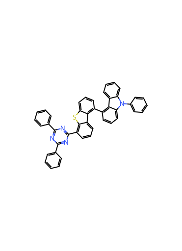 c1ccc(-c2nc(-c3ccccc3)nc(-c3cccc4c3sc3cccc(-c5cccc6c5c5ccccc5n6-c5ccccc5)c34)n2)cc1